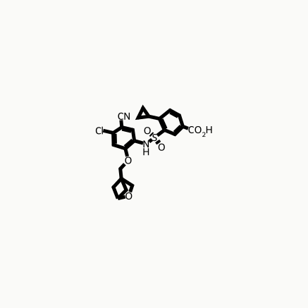 N#Cc1cc(NS(=O)(=O)c2cc(C(=O)O)ccc2C2CC2)c(OCC23COC(C2)C3)cc1Cl